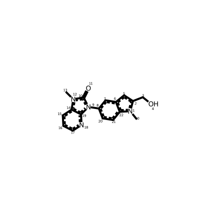 Cn1c(CO)cc2cc(-n3c(=O)n(C)c4cccnc43)ccc21